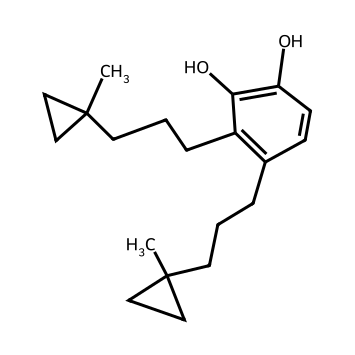 CC1(CCCc2ccc(O)c(O)c2CCCC2(C)CC2)CC1